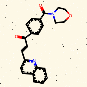 O=C(C=Cc1ccc2ccccc2n1)c1ccc(C(=O)N2CCOCC2)cc1